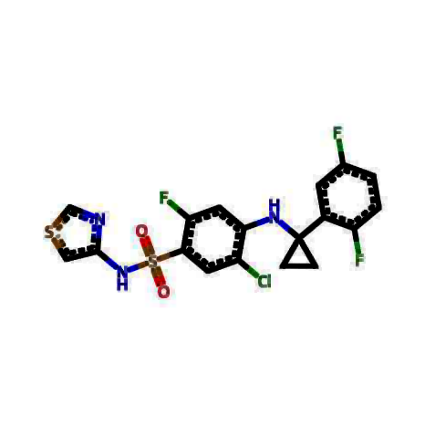 O=S(=O)(Nc1cscn1)c1cc(Cl)c(NC2(c3cc(F)ccc3F)CC2)cc1F